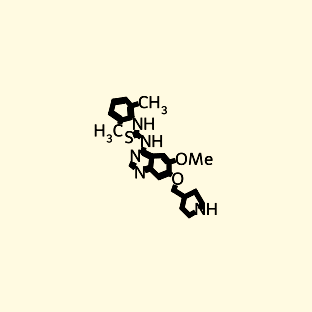 COc1cc2c(NC(=S)Nc3c(C)cccc3C)ncnc2cc1OCC1CCNCC1